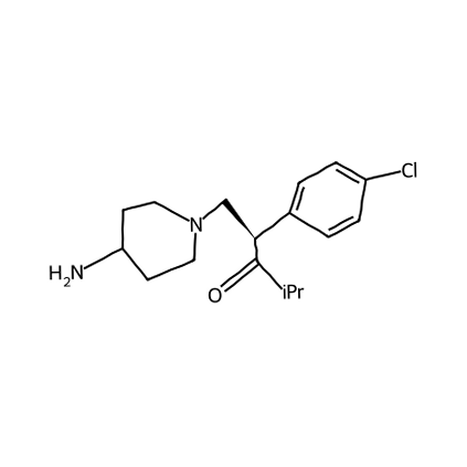 CC(C)C(=O)[C@@H](CN1CCC(N)CC1)c1ccc(Cl)cc1